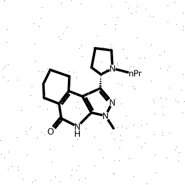 CCCN1CCC[C@H]1c1nn(C)c2[nH]c(=O)c3c(c12)CCCC3